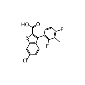 Cc1c(F)ccc(-c2c(C(=O)O)sc3cc(Cl)ccc23)c1F